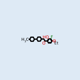 CCOc1ccc(C(=O)CC2CCC(C3CCC(C)CC3)CC2)c(O)c1F